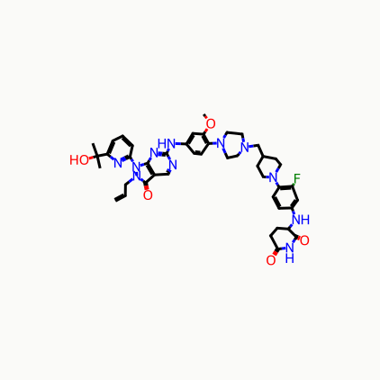 C=CCn1c(=O)c2cnc(Nc3ccc(N4CCN(CC5CCN(c6ccc(NC7CCC(=O)NC7=O)cc6F)CC5)CC4)c(OC)c3)nc2n1-c1cccc(C(C)(C)O)n1